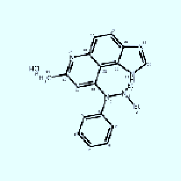 CCN(CC)N(c1ccccc1)c1cc(C)nc2ccc3nc[nH]c3c12.Cl